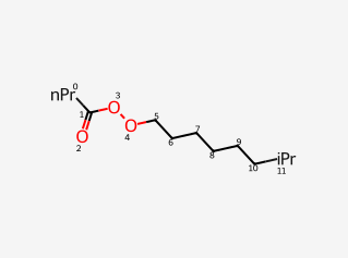 CCCC(=O)OOCCCCCCC(C)C